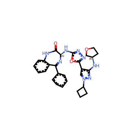 O=C1Nc2ccccc2C(c2ccccc2)=N[C@@H]1Nc1nnc(-c2cn(C3CCC3)nc2N[C@@H]2CCOC2)o1